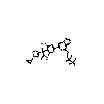 CC1(c2cn(C3CC3)nn2)C(=O)Nc2nc(-c3cn4ncnc4c(CCC(F)(F)C(F)(F)F)n3)nc(N)c21